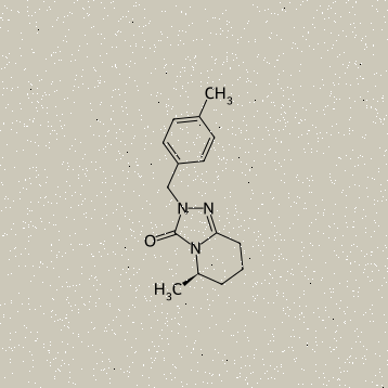 Cc1ccc(Cn2nc3n(c2=O)[C@H](C)CCC3)cc1